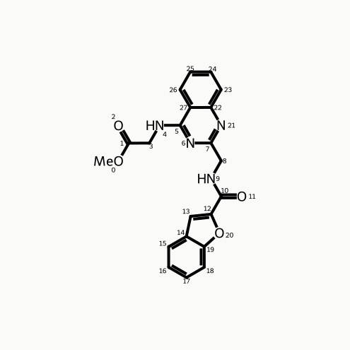 COC(=O)CNc1nc(CNC(=O)c2cc3ccccc3o2)nc2ccccc12